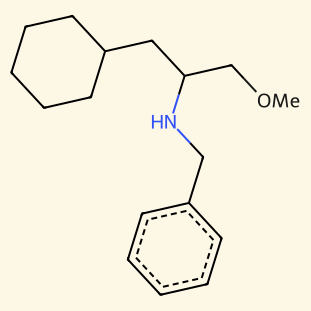 COCC(CC1CCCCC1)NCc1ccccc1